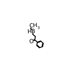 CCBCCC(=O)c1ccccc1